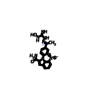 C/C(=N\NC(=N)NO)c1ccc(-n2c(C(N)=O)cc3cccc([N+](=O)[O-])c32)cc1